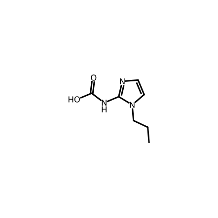 CCCn1ccnc1NC(=O)O